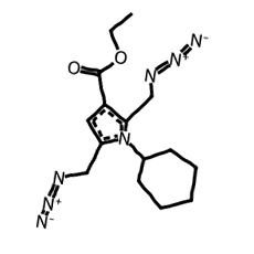 CCOC(=O)c1cc(CN=[N+]=[N-])n(C2CCCCC2)c1CN=[N+]=[N-]